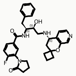 O=C(N[C@@H](Cc1ccccc1)[C@@H](O)CN[C@H]1CC2(CCC2)Oc2cnccc21)c1ccc(F)c(N2CCCC2=O)c1